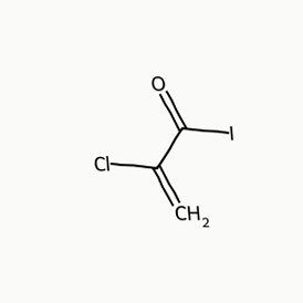 C=C(Cl)C(=O)I